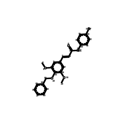 COc1cc(C=CC(=O)Nc2ccc(Br)cc2)cc(OC)c1OCc1ccccc1